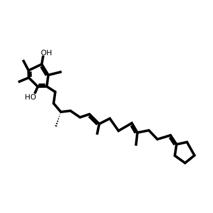 C/C(=C\CC/C(C)=C/CC[C@H](C)CCc1c(C)c(O)c(C)c(C)c1O)CCC=C1CCCC1